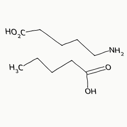 CCCCC(=O)O.NCCCCC(=O)O